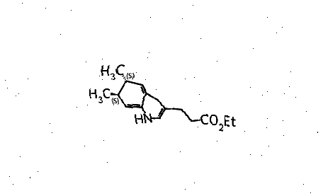 CCOC(=O)CCC1=CNC2=C[C@@H](C)[C@H](C)C=C2C1